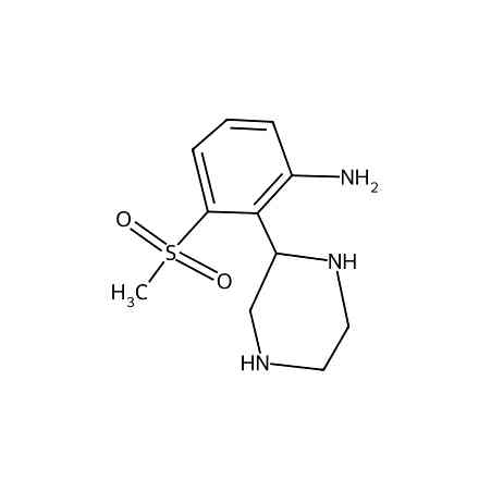 CS(=O)(=O)c1cccc(N)c1C1CNCCN1